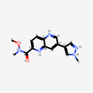 CON(C)C(=O)c1ccc2ncc(-c3cnn(C)c3)cc2n1